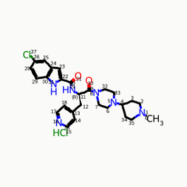 CN1CCC(N2CCN(C(=O)[C@@H](Cc3ccncc3)NC(=O)c3cc4cc(Cl)ccc4[nH]3)CC2)CC1.Cl